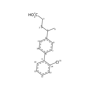 CC(SCC(=O)O)c1ccc(-c2ccccc2Cl)cc1